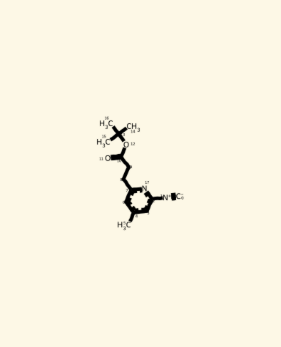 [C-]#[N+]c1cc(C)cc(CCC(=O)OC(C)(C)C)n1